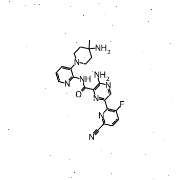 CC1(N)CCN(c2cccnc2NC(=O)c2nc(-c3nc(C#N)ccc3F)cnc2N)CC1